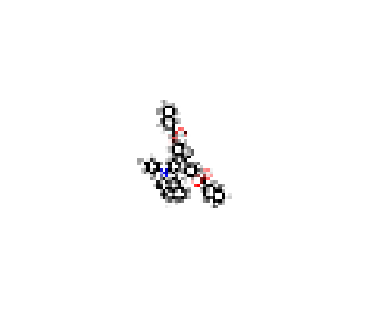 Cc1ccc(N(c2ccc(C(C)(c3ccc(OC(=O)c4ccc5ccccc5c4)cc3)c3ccc(OC(=O)c4ccc5ccccc5c4)cc3)cc2)c2ccc3ccc4cccc5ccc2c3c45)cc1